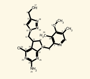 COc1c(C)cnc(CN2CC(Cn3cc(CO)nn3)c3c(Cl)nc(N)nc32)c1C